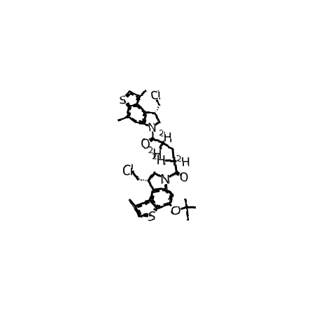 [2H]C([2H])(CC([2H])([2H])C(=O)N1C[C@@H](CCl)c2c1cc(OC(C)(C)C)c1scc(C)c21)C(=O)N1C[C@@H](CCl)c2c1cc(C)c1scc(C)c21